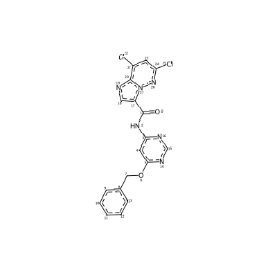 O=C(Nc1cc(OCc2ccccc2)ncn1)c1cnc2c(Cl)cc(Cl)nn12